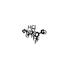 Cl.O=C(NN1CCC1)c1nc2c(C(F)(F)F)cc(-c3ccoc3)cn2c1Cl